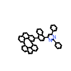 c1ccc(-c2cc(-c3ccc(-c4cc5ccc6cccc7c8cccc9ccc%10cccc(c(c4)c5c67)c%10c98)c4ccccc34)nc(-c3ccccc3)n2)cc1